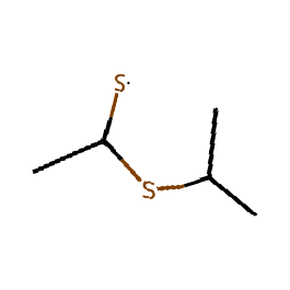 CC(C)SC(C)[S]